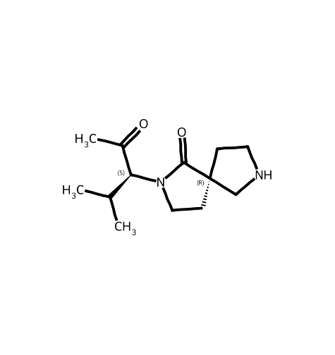 CC(=O)[C@H](C(C)C)N1CC[C@@]2(CCNC2)C1=O